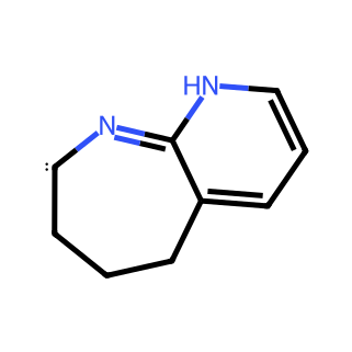 [C]1CCCC2=CC=CNC2=N1